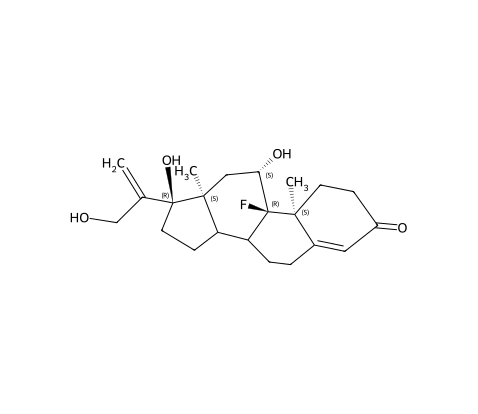 C=C(CO)[C@@]1(O)CCC2C3CCC4=CC(=O)CC[C@]4(C)[C@@]3(F)[C@@H](O)C[C@@]21C